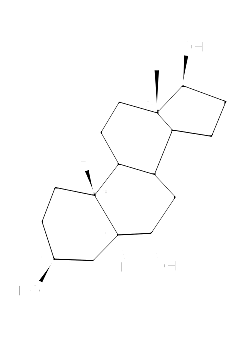 CC[C@]12CC[C@H](O)C[C@@H]1[C@@H](O)CC1C2CC[C@@]2(C)C1CC[C@@H]2O